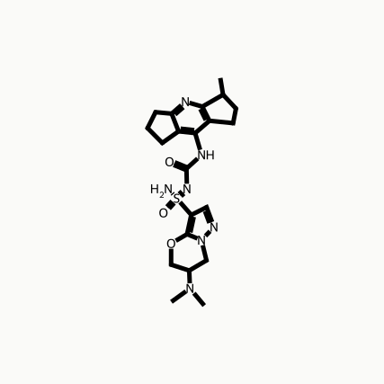 CC1CCc2c1nc1c(c2NC(=O)N=S(N)(=O)c2cnn3c2OCC(N(C)C)C3)CCC1